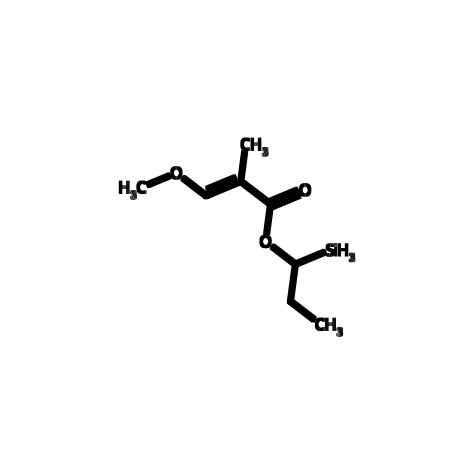 CCC([SiH3])OC(=O)C(C)=COC